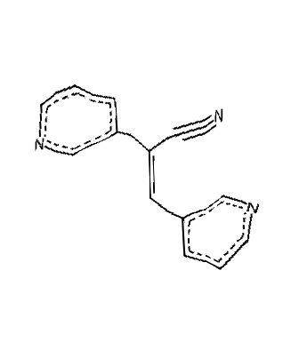 N#CC(=Cc1cccnc1)c1cccnc1